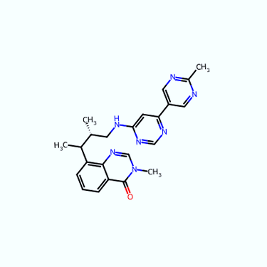 Cc1ncc(-c2cc(NC[C@@H](C)C(C)c3cccc4c(=O)n(C)cnc34)ncn2)cn1